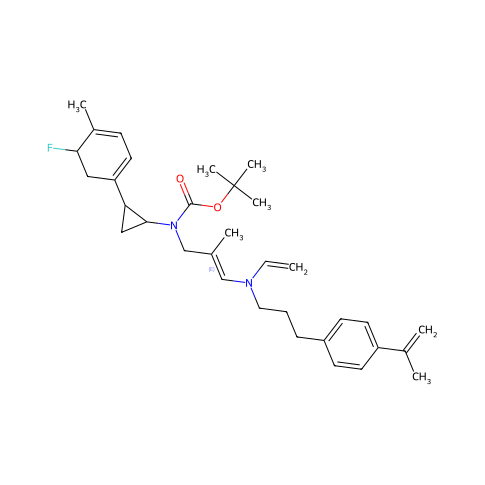 C=CN(/C=C(\C)CN(C(=O)OC(C)(C)C)C1CC1C1=CC=C(C)C(F)C1)CCCc1ccc(C(=C)C)cc1